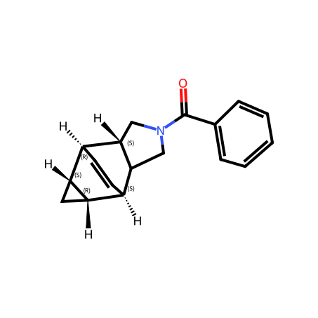 O=C(c1ccccc1)N1CC2[C@@H](C1)[C@H]1C=C[C@@H]2[C@@H]2C[C@H]12